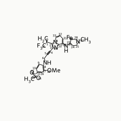 C=C(c1c(C#CCNc2ccc(S(C)(=O)=O)cc2OC)nc2c(N[C@@H]3CCN(C)C[C@@H]3F)cccn12)C(F)(F)F